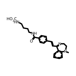 CN1CCN=C(/C=C/c2ccc(C(=O)NCCCCNC(=O)O)cc2)c2ccccc21